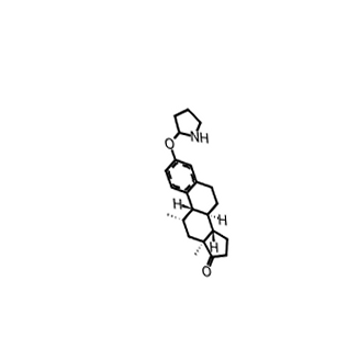 C[C@H]1C[C@]2(C)C(=O)CC[C@H]2[C@@H]2CCc3cc(OC4CCCN4)ccc3[C@H]21